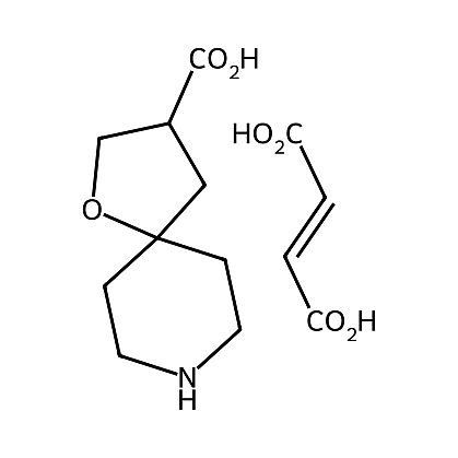 O=C(O)C1COC2(CCNCC2)C1.O=C(O)C=CC(=O)O